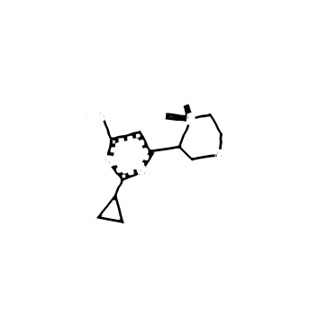 Nc1cc(C2CNCCS2(=O)=O)nc(C2CC2)n1